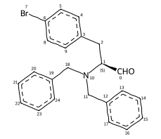 O=C[C@H](Cc1ccc(Br)cc1)N(Cc1ccccc1)Cc1ccccc1